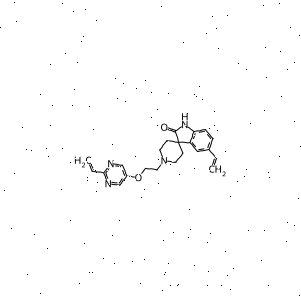 C=Cc1ccc2c(c1)C1(CCN(CCOc3cnc(C=C)nc3)CC1)C(=O)N2